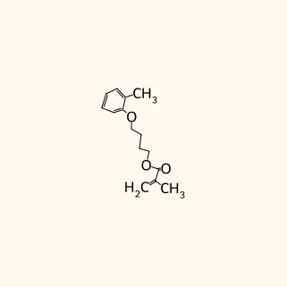 C=C(C)C(=O)OCCCCOc1ccccc1C